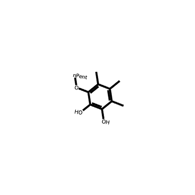 CCCCCOc1c(C)c(C)c(C)c(O)c1O